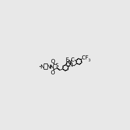 CN1CCN(N2C(=O)SC(=Cc3ccc4c(cnn4Cc4ccc(C(F)(F)F)cc4C(F)(F)F)c3)C2=O)CC1